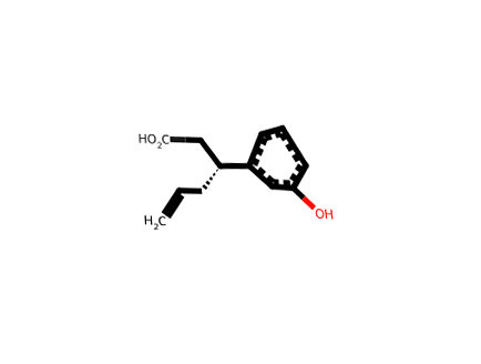 C=CC[C@H](CC(=O)O)c1cccc(O)c1